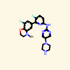 CC(C)N1CCOc2c(F)cc(-c3nc(Nc4ncc(N5CCNCC5)cn4)ccc3F)cc21